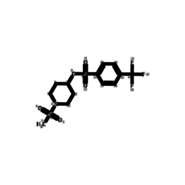 CS(=O)(=O)N1CCC(OS(=O)(=O)c2ccc(C(F)(F)F)cc2)CC1